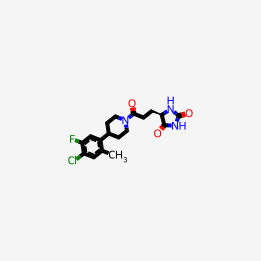 Cc1cc(Cl)c(F)cc1C1CCN(C(=O)CC[C@H]2NC(=O)NC2=O)CC1